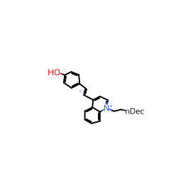 CCCCCCCCCCCC[n+]1ccc(/C=C/c2ccc(O)cc2)c2ccccc21